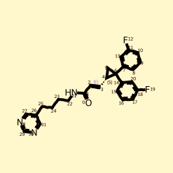 O=C(/C=C/[C@@H]1CC1(c1cccc(F)c1)c1cccc(F)c1)NCCCCc1cncnc1